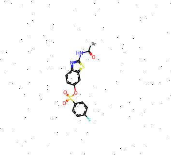 CC(C)C(=O)Nc1nc2ccc(OS(=O)(=O)c3ccc(F)cc3)cc2s1